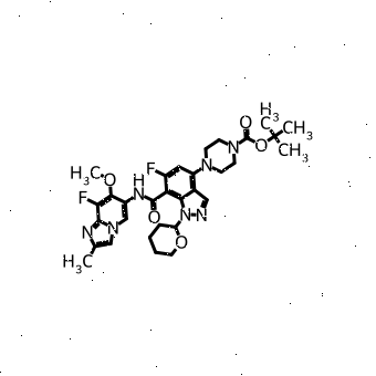 COc1c(NC(=O)c2c(F)cc(N3CCN(C(=O)OC(C)(C)C)CC3)c3cnn(C4CCCCO4)c23)cn2cc(C)nc2c1F